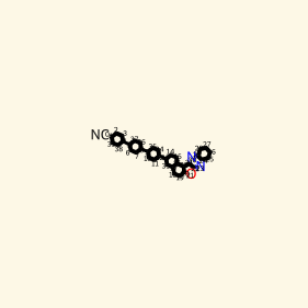 N#Cc1ccc(-c2ccc(-c3ccc(-c4ccc5c(ccc6oc7nc8ccccc8nc7c65)c4)cc3)cc2)cc1